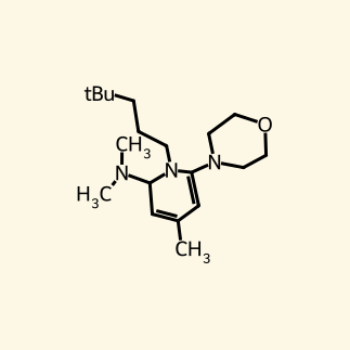 CC1=CC(N(C)C)N(CCCC(C)(C)C)C(N2CCOCC2)=C1